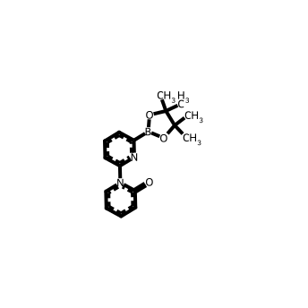 CC1(C)OB(c2cccc(-n3ccccc3=O)n2)OC1(C)C